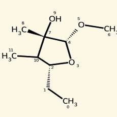 CC[C@H]1O[C@@H](OC)[C@@](C)(O)C1C